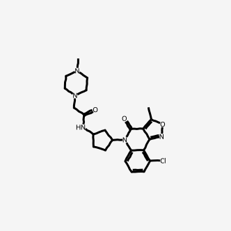 Cc1onc2c1c(=O)n(C1CCC(NC(=O)CN3CCN(C)CC3)C1)c1cccc(Cl)c21